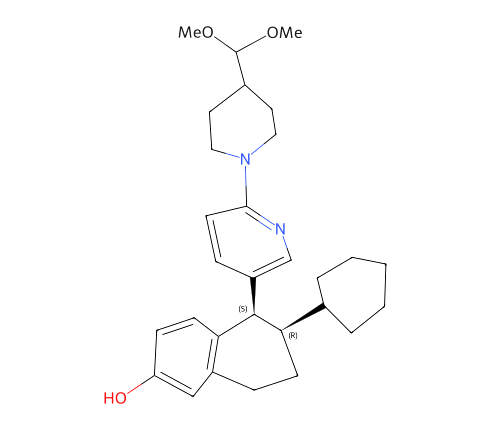 COC(OC)C1CCN(c2ccc([C@@H]3c4ccc(O)cc4CC[C@@H]3C3CCCCC3)cn2)CC1